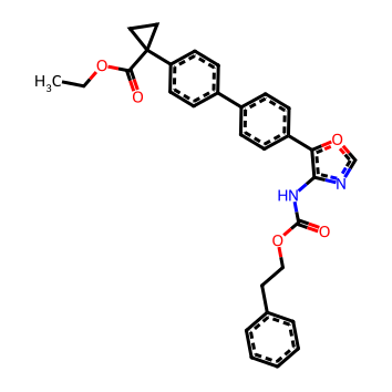 CCOC(=O)C1(c2ccc(-c3ccc(-c4ocnc4NC(=O)OCCc4ccccc4)cc3)cc2)CC1